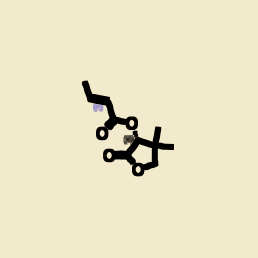 C/C=C/C(=O)O[C@H]1C(=O)OCC1(C)C